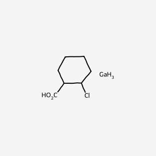 O=C(O)C1CCCCC1Cl.[GaH3]